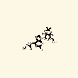 CC(C)(C)OC(=O)Nc1nc(Cl)nc2c1ncn2[C@@H]1O[C@H](CO)[C@H]2OC(C)(C)O[C@H]21